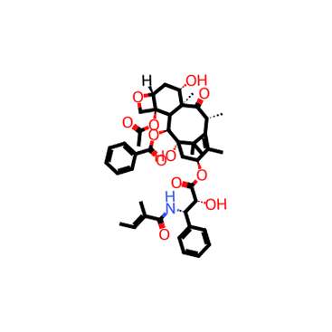 C/C=C(\C)C(=O)N[C@@H](c1ccccc1)[C@@H](O)C(=O)O[C@H]1C[C@@]2(O)[C@@H](OC(=O)c3ccccc3)C3[C@](C)(C(=O)[C@H](C)C(=C1C)C2(C)C)[C@@H](O)C[C@H]1OC[C@@]31OC(C)=O